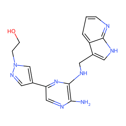 Nc1ncc(-c2cnn(CCO)c2)nc1NCc1c[nH]c2ncccc12